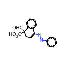 O=CC1(C(=O)O)CC=C(N=Nc2ccccc2)c2ccccc21